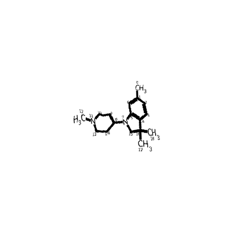 Cc1ccc2c(c1)N(C1CCN(C)CC1)CC2(C)C